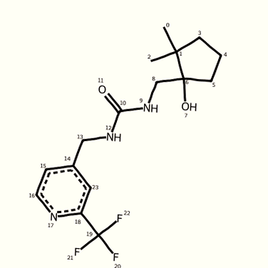 CC1(C)CCCC1(O)CNC(=O)NCc1ccnc(C(F)(F)F)c1